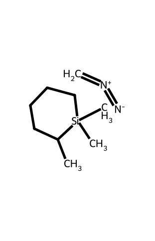 C=[N+]=[N-].CC1CCCC[Si]1(C)C